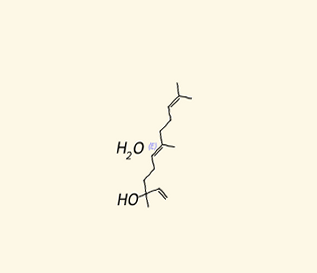 C=CC(C)(O)CC/C=C(\C)CCC=C(C)C.O